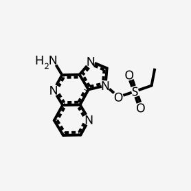 CCS(=O)(=O)On1cnc2c(N)nc3cccnc3c21